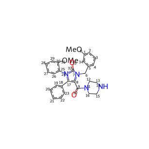 COc1cccc(Cn2c(C(=O)N3CCNCC3)c(-c3ccccc3)n(-c3ccccc3OC)c2=O)c1